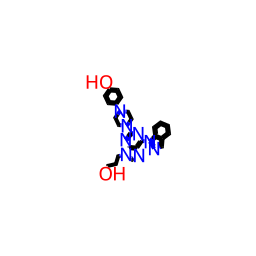 OCCCn1cnc2c(-n3ncc4ccccc43)nc(N3CCN(c4ccc(O)cc4)CC3)nc21